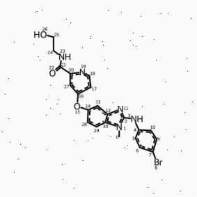 Cn1c(Nc2ccc(Br)cc2)nc2cc(Oc3ccnc(C(=O)NCCO)c3)ccc21